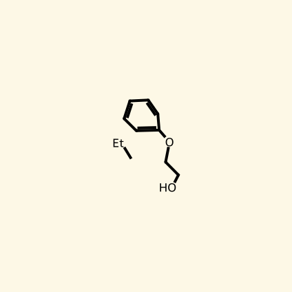 CCC.OCCOc1ccccc1